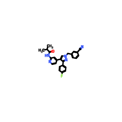 CC(C)C(=O)Nc1cc(-c2cn(Cc3cccc(C#N)c3)nc2-c2ccc(F)cc2)ccn1